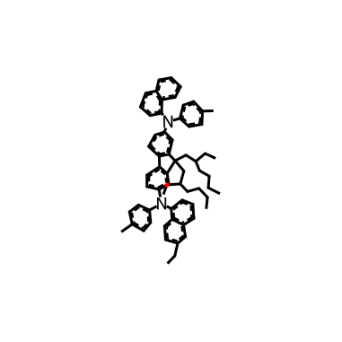 CCCCC(CC)CC1(CC(CC)CCCC)c2cc(N(c3ccc(C)cc3)c3cccc4ccccc34)ccc2-c2ccc(N(c3ccc(C)cc3)c3cccc4cc(CC)ccc34)cc21